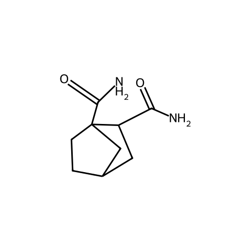 NC(=O)C1CC2CCC1(C(N)=O)C2